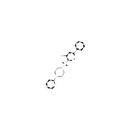 Cc1cc(-c2ccccc2)nnc1S(=O)(=O)N1CCN(c2ccccn2)CC1